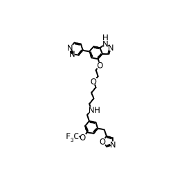 FC(F)(F)Oc1cc(CNCCCCOCCOc2cc(-c3ccnnc3)cc3[nH]ncc23)cc(Cc2cnco2)c1